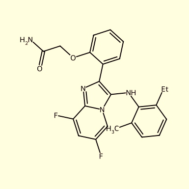 CCc1cccc(C)c1Nc1c(-c2ccccc2OCC(N)=O)nc2c(F)cc(F)cn12